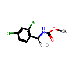 CC(C)(C)OC(=O)N[C@@H](C=O)c1ccc(Cl)cc1Br